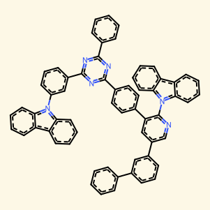 c1ccc(-c2cccc(-c3cnc(-n4c5ccccc5c5ccccc54)c(-c4ccc(-c5nc(-c6ccccc6)nc(-c6cccc(-n7c8ccccc8c8ccccc87)c6)n5)cc4)c3)c2)cc1